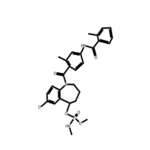 CNP(=O)(OC)OC1CCCN(C(=O)c2ccc(NC(=O)c3ccccc3C)cc2C)c2ccc(Cl)cc21